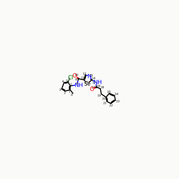 Cc1cccc(Cl)c1NC(=O)c1cnc(NC(=O)CCc2ccccc2)[se]1